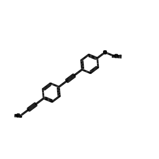 CCCCC#Cc1ccc(C#Cc2ccc(OCCCCCCCC)cc2)cc1